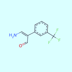 NC=C(C=O)c1cccc(C(F)(F)F)c1